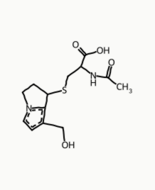 CC(=O)NC(CSC1CCn2ccc(CO)c21)C(=O)O